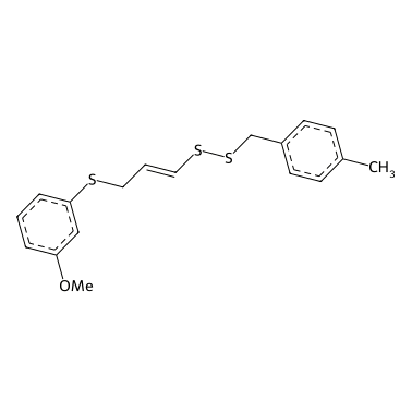 COc1cccc(SC/C=C/SSCc2ccc(C)cc2)c1